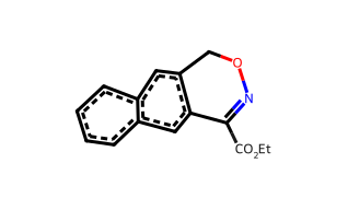 CCOC(=O)C1=NOCc2cc3ccccc3cc21